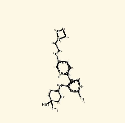 CC1(O)CCC(Nc2cc(Cl)ncc2-c2ccc(OCCN3CCC3)cn2)CC1